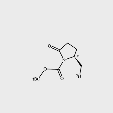 [3H]C[C@@H]1CCC(=O)N1C(=O)OC(C)(C)C